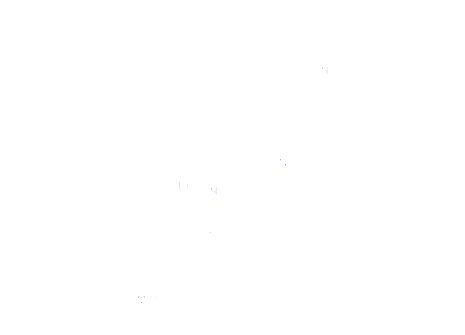 CCN(C(=O)CCSC)c1cnc(-c2cncc(F)c2)s1